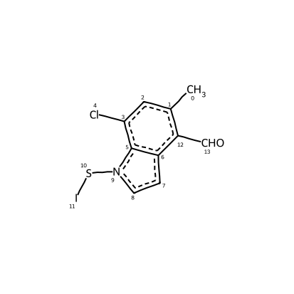 Cc1cc(Cl)c2c(ccn2SI)c1C=O